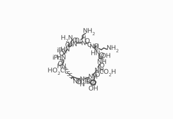 CC[C@H](C)[C@@H]1NC(=O)C(N)C(C)(C)SSC[C@H](C(=O)O)NC(=O)[C@@H](CC(C)C)NC(=O)[C@H](C(C)C)NC(=O)[C@@H](CC(N)=O)NC(=O)[C@H](CCCCN)NC(=O)CNC(=O)[C@H](CCCCN)NC(=O)[C@@H]([C@@H](C)O)NC(=O)[C@H](CC(=O)O)NC(=O)[C@@H](Cc2ccc(O)cc2)NC1=O